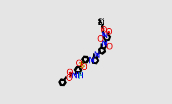 C[Si](C)(C)CCOCN1C(=O)CCC(N2Cc3cc(N4CC5C4CCCN5c4cccc(S(=O)(=O)c5ccc(NC(=O)OCc6ccccc6)c(F)c5)c4)ccc3C2=O)C1=O